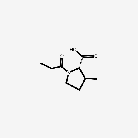 CCC(=O)N1CC[C@H](C)[C@H]1C(=O)O